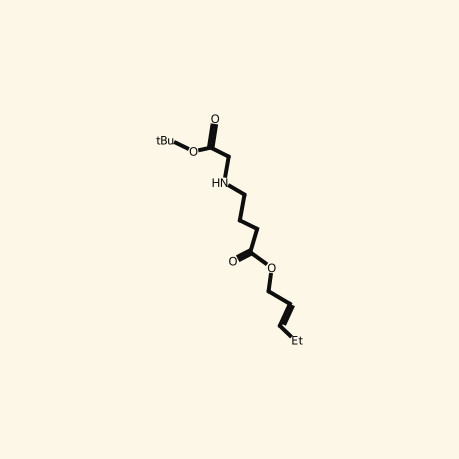 CCC=CCOC(=O)CCCNCC(=O)OC(C)(C)C